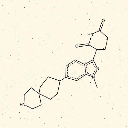 Cn1nc(C2CCC(=O)NC2=O)c2ccc(C3CCC4(CCNCC4)CC3)cc21